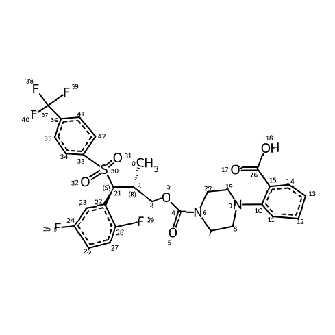 C[C@H](COC(=O)N1CCN(c2ccccc2C(=O)O)CC1)[C@@H](c1cc(F)ccc1F)S(=O)(=O)c1ccc(C(F)(F)F)cc1